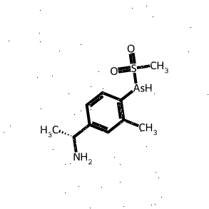 Cc1cc([C@@H](C)N)ccc1[AsH]S(C)(=O)=O